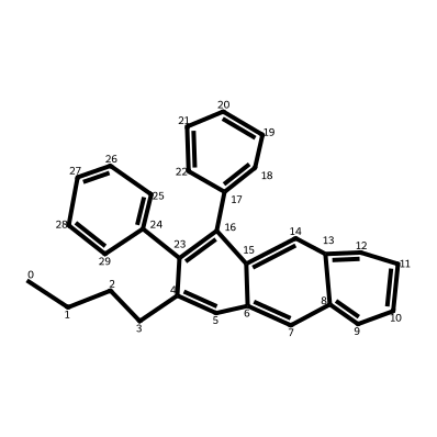 CCCCc1cc2cc3ccccc3cc2c(-c2ccccc2)c1-c1ccccc1